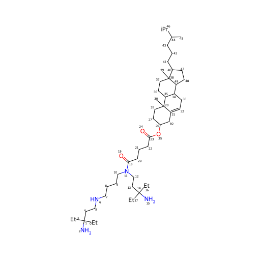 CCC(N)(CC)CCNCCCCN(CCC(N)(CC)CC)C(=O)CCCC(=O)OC1CCC2(C)C(=CCC3C2CCC2(C)C(CCCC(C)C(C)C)CCC32)C1